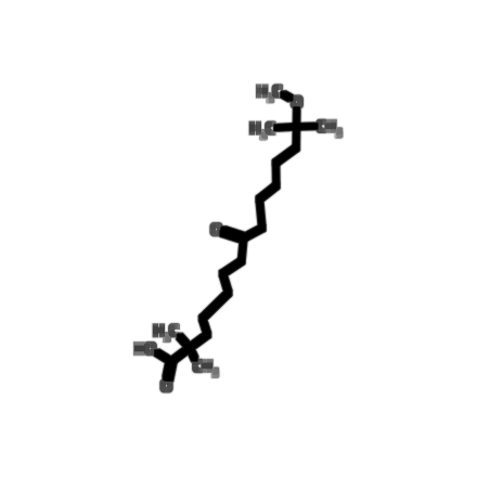 COC(C)(C)CCCCCC(=O)CCCCCC(C)(C)C(=O)O